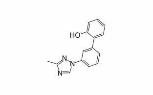 Cc1ncn(-c2cccc(-c3ccccc3O)c2)n1